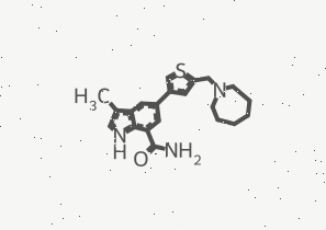 Cc1c[nH]c2c(C(N)=O)cc(-c3csc(CN4CCCCCC4)c3)cc12